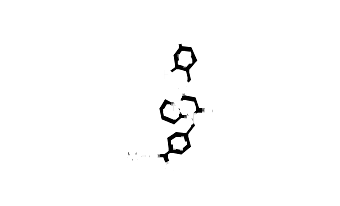 COC(=O)c1ccc(CN2C(=O)C=C(OCc3ccc(F)cc3F)N3C=CC=CC32)cc1